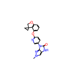 Cn1cc2[nH]c(=O)n(-c3ccc(Oc4cccc5c4C4(CC4)CO5)nc3)c2n1